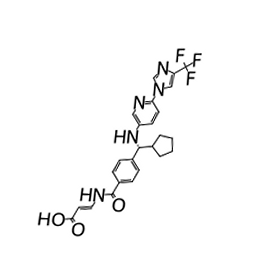 O=C(O)/C=C/NC(=O)c1ccc([C@H](Nc2ccc(-n3cnc(C(F)(F)F)c3)nc2)C2CCCC2)cc1